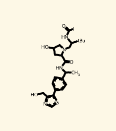 CC(NC(=O)C1CC(O)CN1CC(NC(=O)I)C(C)(C)C)c1ccc(-c2scnc2CO)cc1